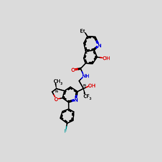 CCc1cnc2c(O)cc(C(=O)NC[C@](O)(c3cc4c(c(-c5ccc(F)cc5)n3)OC[C@H]4C)C(F)(F)F)cc2c1